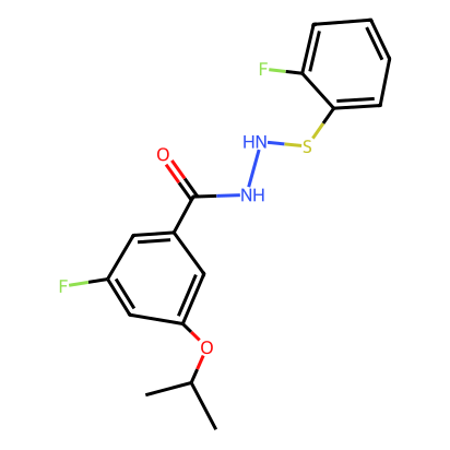 CC(C)Oc1cc(F)cc(C(=O)NNSc2ccccc2F)c1